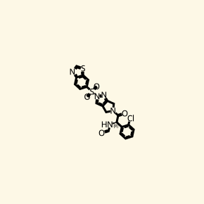 O=CN[C@@H](C(=O)N1Cc2cn(S(=O)(=O)c3ccc4ncsc4c3)nc2C1)c1ccccc1Cl